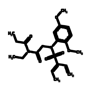 C=C/C(=C\C)S(=O)(=O)N(CC(=O)N(CC)C(=O)CC)c1cc(OC)ccc1OC